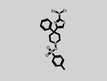 CCN(CC)c1nc(C2(c3ccccc3)CCN(OS(=O)(=O)c3ccc(C)cc3)CC2)cs1